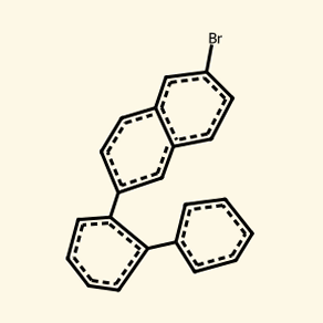 Brc1ccc2cc(-c3ccccc3-c3ccccc3)ccc2c1